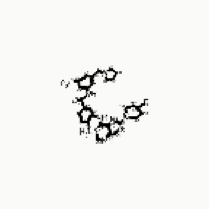 Cc1ccc(C(=O)Nc2cc(CN3CCCC3)cc(C(F)(F)F)c2)cc1Nc1ncnc2cnc(N3CCC(F)CC3)nc12